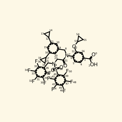 O=C(O)c1ccc(N(Cc2cc(C3CC3)cc(C3CC3)c2)C(=O)CN(Cc2c(F)c(F)c(F)c(F)c2F)S(=O)(=O)c2c(F)c(F)c(F)c(F)c2F)c(OC2CC2)c1